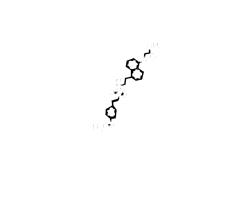 COc1ccc(/C=C/S(=O)(=O)NCCc2cccc3c(OCC(=O)O)cccc23)cc1